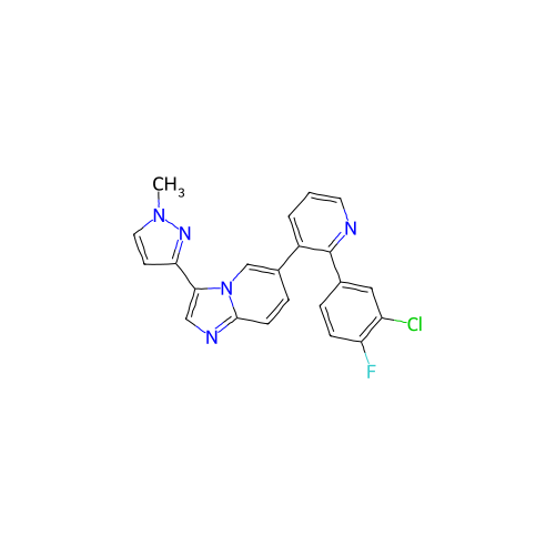 Cn1ccc(-c2cnc3ccc(-c4cccnc4-c4ccc(F)c(Cl)c4)cn23)n1